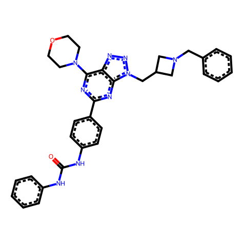 O=C(Nc1ccccc1)Nc1ccc(-c2nc(N3CCOCC3)c3nnn(CC4CN(Cc5ccccc5)C4)c3n2)cc1